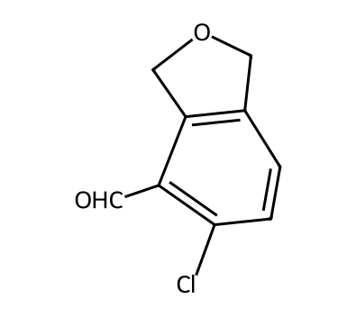 O=Cc1c(Cl)ccc2c1COC2